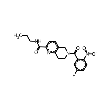 CCCNC(=O)c1ccc2c(n1)CCN(C(=O)c1cc(F)ccc1[N+](=O)[O-])C2